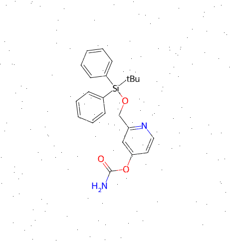 CC(C)(C)[Si](OCc1cc(OC(N)=O)ccn1)(c1ccccc1)c1ccccc1